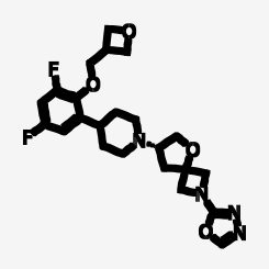 Fc1cc(F)c(OCC2COC2)c(C2CCN([C@@H]3COC4(C3)CN(c3nnco3)C4)CC2)c1